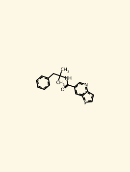 CC(C)(Cc1ccccc1)NC(=O)c1cnc2ccsc2c1